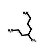 CC(CCN)CCCN